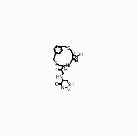 CCN[C@H]1CSCc2ccc(cc2)CSC[C@@H](C(=O)CN[C@@H](CS)C(N)=O)NCC1=O